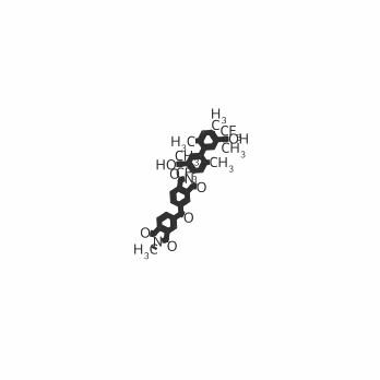 Cc1cc(C)c(C(C)(O)C(F)(F)F)cc1-c1cc(C(C)(O)C(F)(F)F)c(N2C(=O)c3ccc(C(=O)c4ccc5c(c4)C(=O)N(C)C5=O)cc3C2=O)cc1C